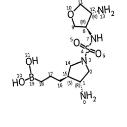 N[C@H]1CN(S(=O)(=O)N[C@H]2COC[C@@H]2N)C[C@@H]1CCCB(O)O